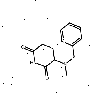 CN(Cc1ccccc1)C1CCC(=O)NC1=O